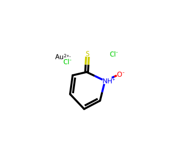 [Au+2].[Cl-].[Cl-].[O-][NH+]1C=CC=CC1=S